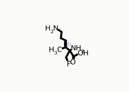 C/C(=C\CCN)C(N)(CF)C(=O)O